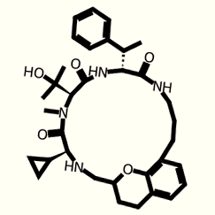 CC(c1ccccc1)[C@H]1NC(=O)[C@H](C(C)(C)O)N(C)C(=O)[C@H](C2CC2)NCC2CCc3cccc(c3O2)CCCNC1=O